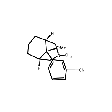 CO[C@]1(c2cccc(C#N)c2)[C@@H]2CCC[C@H]1CN(C)C2